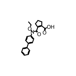 CCON(C(=O)C1=C(C(=O)O)CCC1)c1ccc(-c2ccccc2)cc1